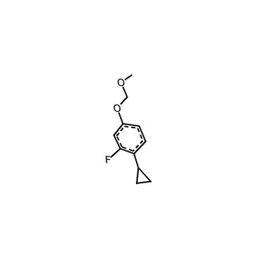 COCOc1ccc(C2CC2)c(F)c1